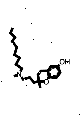 CCCCCCCCCN(C)CCCC1(C)CCc2cc(O)ccc2O1